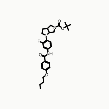 CCCCOc1ccc(C(=O)Nc2ccc(N3CCC4CN(C(=O)OC(C)(C)C)CC43)c(F)c2)cc1